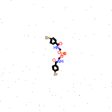 O=C(NCO[PH](=O)OCNC(=O)c1ccc(Br)cc1)c1ccc(Br)cc1